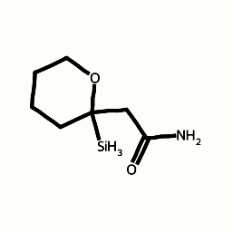 NC(=O)CC1([SiH3])CCCCO1